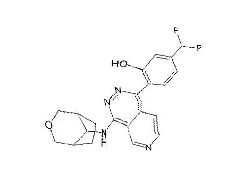 Oc1cc(C(F)F)ccc1-c1nnc(NC2C3CCC2COC3)c2cnccc12